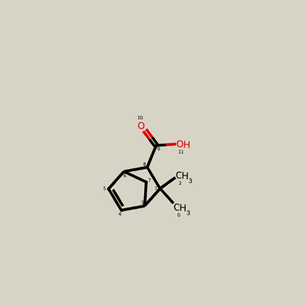 CC1(C)C2C=CC(C2)C1C(=O)O